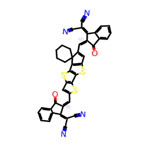 N#CC(C#N)=C1/C(=C/C2=Cc3sc4c(sc5cc(/C=C6\C(=O)c7ccccc7C6=C(C#N)C#N)sc54)c3C23CCCCC3)C(=O)c2ccccc21